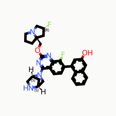 Oc1cc(-c2ccc3c(N4C[C@@H]5C[C@H]4CN5)nc(OC[C@@]45CCCN4C[C@H](F)C5)nc3c2F)c2ccccc2c1